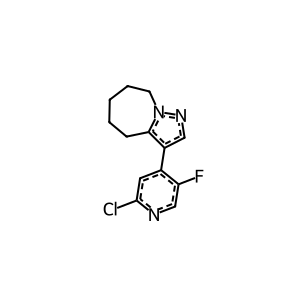 Fc1cnc(Cl)cc1-c1cnn2c1CCCCC2